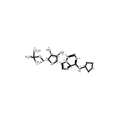 CC(OC[C@H]1O[C@@H](c2cnc3c(NC4CCCC4)ncnn23)[C@H](O)[C@@H]1O)(C(=O)O)C(=O)O